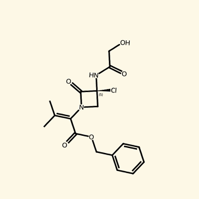 CC(C)=C(C(=O)OCc1ccccc1)N1C[C@@](Cl)(NC(=O)CO)C1=O